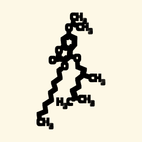 CCCCCCCCCCOc1c(OCC=C(C)CCC=C(C)C)c2ccc(OC(C)C)cc2oc1=O